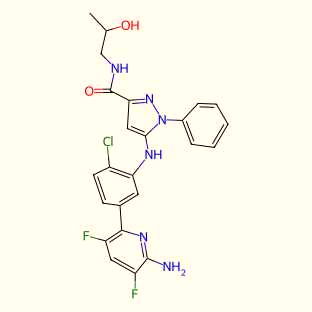 CC(O)CNC(=O)c1cc(Nc2cc(-c3nc(N)c(F)cc3F)ccc2Cl)n(-c2ccccc2)n1